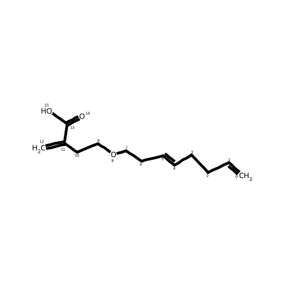 C=CCC/C=C/CCOCCC(=C)C(=O)O